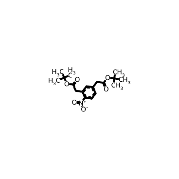 CC(C)(C)OC(=O)Cc1ccc([N+](=O)[O-])c(CC(=O)OC(C)(C)C)c1